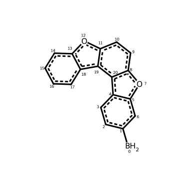 Bc1ccc2c(c1)oc1ccc3oc4ccccc4c3c12